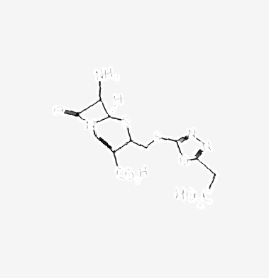 NC1C(=O)N2C=C(C(=O)O)C(CSc3nnc(CC(=O)O)o3)S[C@H]12